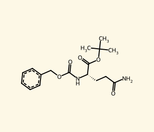 CC(C)(C)OC(=O)[C@H](CCC(N)=O)NC(=O)OCc1ccccc1